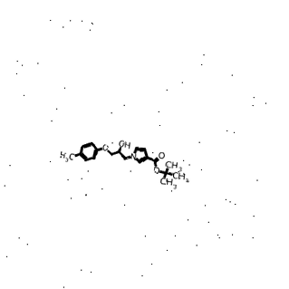 Cc1ccc(OCC(O)Cn2ccc(C(=O)OC(C)(C)C)c2)cc1